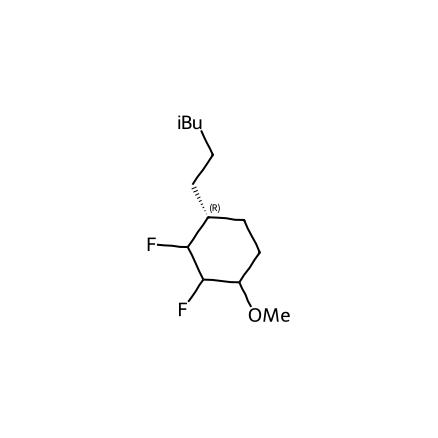 CCC(C)CC[C@@H]1CCC(OC)C(F)C1F